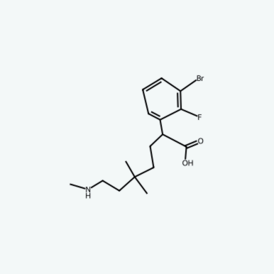 CNCCC(C)(C)CCC(C(=O)O)c1cccc(Br)c1F